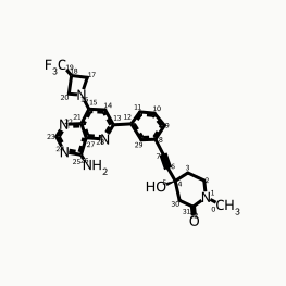 CN1CC[C@@](O)(C#Cc2cccc(-c3cc(N4CC(C(F)(F)F)C4)c4ncnc(N)c4n3)c2)CC1=O